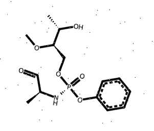 CO[C@H](CO[P@](=O)(N[C@@H](C)C=O)Oc1ccccc1)[C@H](C)O